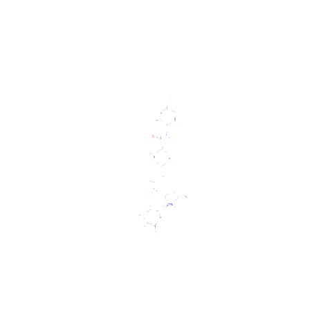 CN(C(=O)Cc1ccc(C(=O)Nc2ccc(F)cc2)cc1)c1cc(C(F)(F)F)nn1-c1cccc(Cl)c1